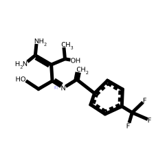 C=C(/N=C(/CO)C(=C(N)N)C(C)O)c1ccc(C(F)(F)F)cc1